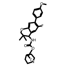 COc1ccc(-c2cc3c(cc2F)C(NC(=O)OC2CN4CCC2CC4)C(C)(C)CO3)cc1